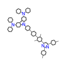 Cc1ccc(-c2cc(-c3cc(C)c(-c4ccc(-c5ccc(-n6c7ccc(N(c8ccccc8)c8ccccc8)cc7c7cc(N(c8ccccc8)c8ccccc8)ccc76)cc5)cc4)c(C)c3)nc(-c3ccc(C)cc3)n2)cc1